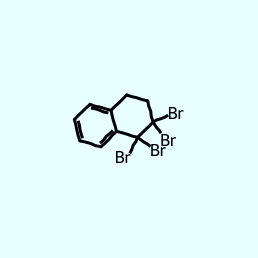 BrC1(Br)CCc2ccccc2C1(Br)Br